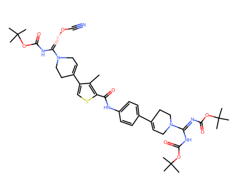 Cc1c(C2=CCN(C(=BOC#N)NC(=O)OC(C)(C)C)CC2)csc1C(=O)Nc1ccc(C2=CCN(C(=NC(=O)OC(C)(C)C)NC(=O)OC(C)(C)C)CC2)cc1